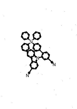 N#Cc1ccc(-c2ccc([Si](c3ccccc3)(c3ccccc3)c3ccccc3)cc2)c(-n2c3ccccc3c3cc(C#N)ccc32)c1